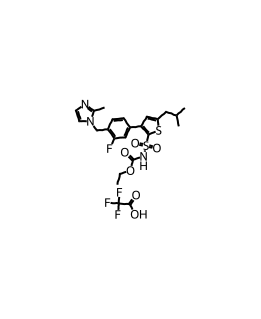 CCOC(=O)NS(=O)(=O)c1sc(CC(C)C)cc1-c1ccc(Cn2ccnc2C)c(F)c1.O=C(O)C(F)(F)F